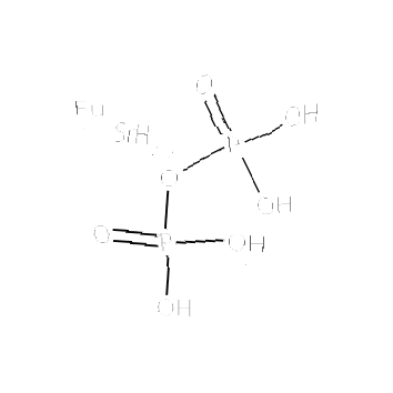 O=P(O)(O)OP(=O)(O)O.[Eu].[SrH2]